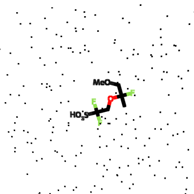 COCC(C)(F)OCC(F)(F)S(=O)(=O)O